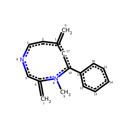 C=c1ccncc(=C)n(C)c(-c2ccccc2)c1